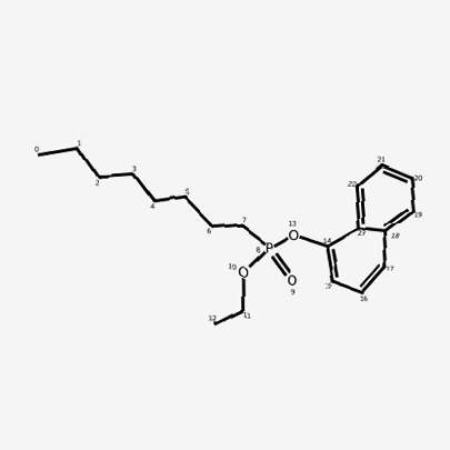 CCCCCCCCP(=O)(OCC)Oc1cccc2ccccc12